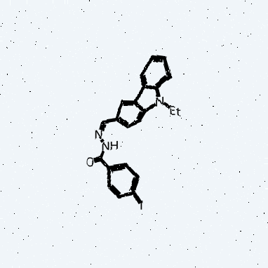 CCn1c2ccccc2c2cc(/C=N\NC(=O)c3ccc(I)cc3)ccc21